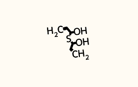 C=CC(O)SC(O)C=C